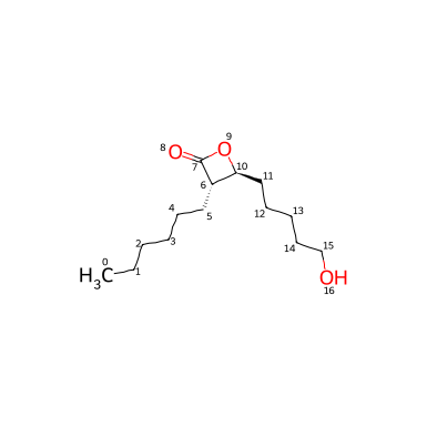 CCCCCC[C@@H]1C(=O)O[C@H]1CCCCCO